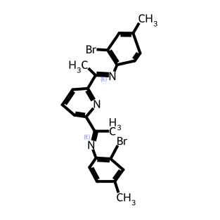 C/C(=N\c1ccc(C)cc1Br)c1cccc(/C(C)=N/c2ccc(C)cc2Br)n1